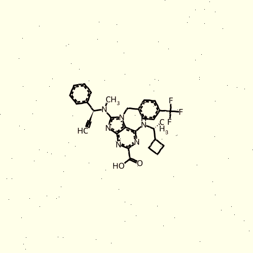 C#C[C@@H](c1ccccc1)N(C)c1nc2nc(C(=O)O)nc(N[C@H](C)C3CCC3)c2n1Cc1ccc(C(F)(F)F)cc1